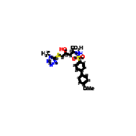 COc1ccc(-c2ccc(S(=O)(=O)NC(CC(O)CSc3nnnn3C)C(=O)O)cc2)cc1